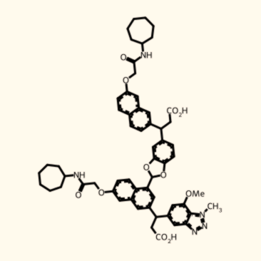 COc1cc(C(CC(=O)O)c2cc(C3Oc4ccc(C(CC(=O)O)c5ccc6ccc(OCC(=O)NC7CCCCCC7)cc6c5)cc4O3)c3ccc(OCC(=O)NC4CCCCCC4)cc3c2)cc2nnn(C)c12